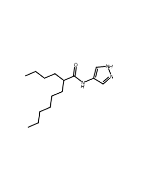 CCCCCCC(CCCC)C(=O)Nc1cn[nH]c1